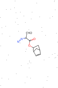 [N-]=[N+]=C(C=O)C(=O)OC1CC2C=CC1C2